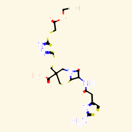 CCOC(=O)CSc1nnc(SCC2(C(=O)O)CS[C@@H]3C(NC(=O)Cc4csc(N)n4)C(=O)N3C2)s1